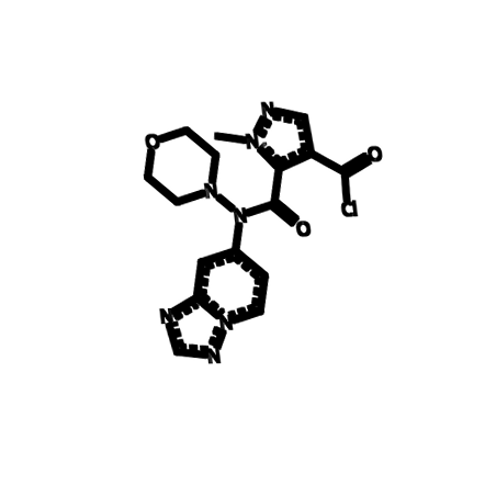 Cn1ncc(C(=O)Cl)c1C(=O)N(c1ccn2ncnc2c1)N1CCOCC1